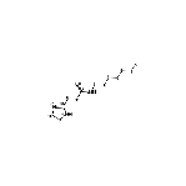 CCCCCCCNC(=O)CCC1=NCCN1